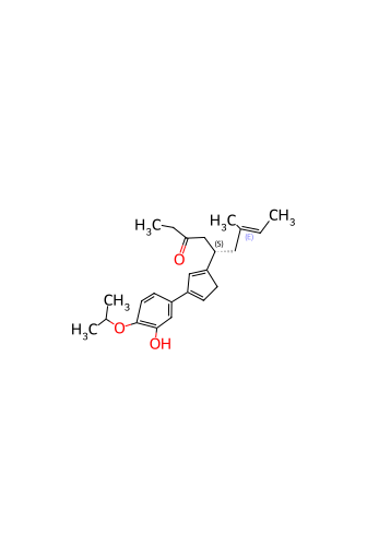 C/C=C(\C)C[C@@H](CC(=O)CC)C1=CC(c2ccc(OC(C)C)c(O)c2)=CC1